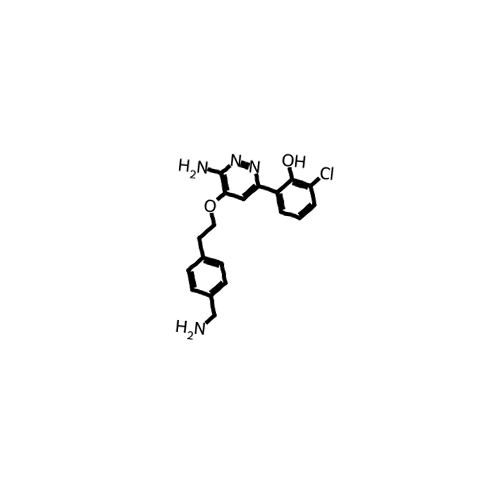 NCc1ccc(CCOc2cc(-c3cccc(Cl)c3O)nnc2N)cc1